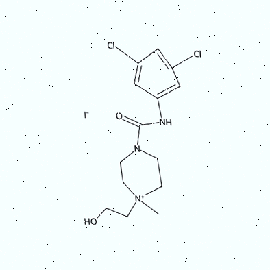 C[N+]1(CCO)CCN(C(=O)Nc2cc(Cl)cc(Cl)c2)CC1.[I-]